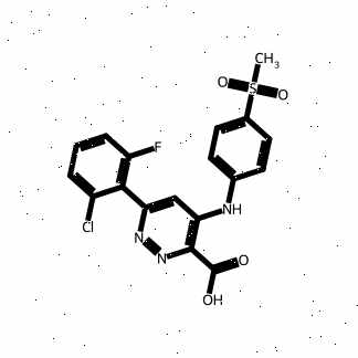 CS(=O)(=O)c1ccc(Nc2cc(-c3c(F)cccc3Cl)nnc2C(=O)O)cc1